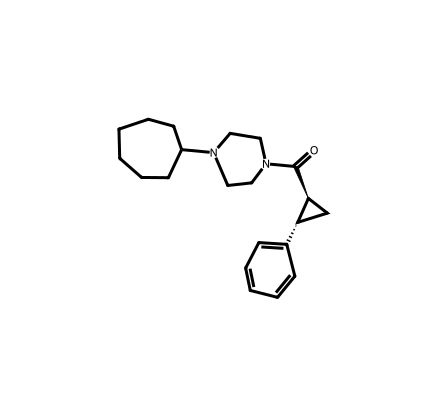 O=C([C@H]1C[C@@H]1c1ccccc1)N1CCN(C2CCCCCC2)CC1